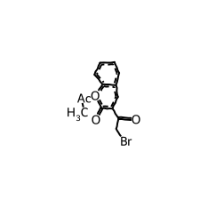 CC(C)=O.O=C(CBr)c1cc2ccccc2oc1=O